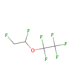 FCC(F)OC(F)(F)C(F)(F)F